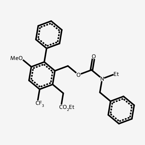 CCOC(=O)Cc1c(C(F)(F)F)cc(OC)c(-c2ccccc2)c1COC(=O)N(CC)Cc1ccccc1